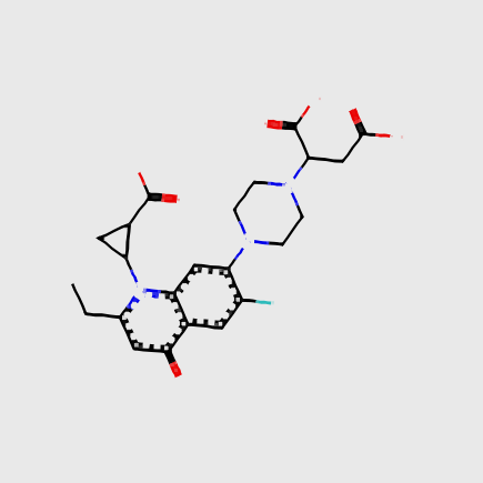 CCc1cc(=O)c2cc(F)c(N3CCN(C(CC(=O)O)C(=O)O)CC3)cc2n1C1CC1C(=O)O